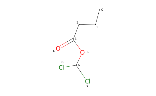 CCCC(=O)OC(Cl)Cl